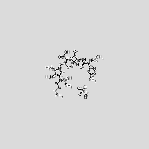 CON=C(C(=O)N[C@@H]1C(=O)N2C(C(=O)O)=C(C[n+]3cc(N(CCCN)C(=N)N)c(N)n3C)CS[C@H]12)c1nsc(N)n1.O=S(=O)([O-])[O-].[H+]